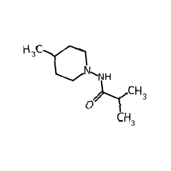 CC1CCN(NC(=O)C(C)C)CC1